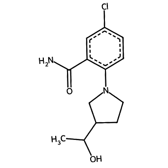 CC(O)C1CCN(c2ccc(Cl)cc2C(N)=O)C1